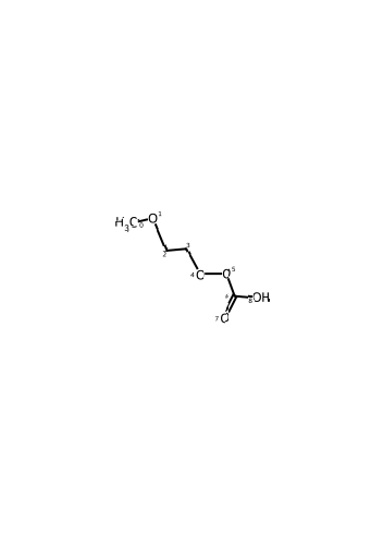 COCCOOC(=O)O